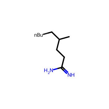 CCCCCC(C)CCC(=N)N